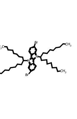 CCCCCCCCC(CCCCCCCC)n1c2cc(Br)ccc2c2c1c1ccc(Br)cc1n2C(CCCCCCCC)CCCCCCCC